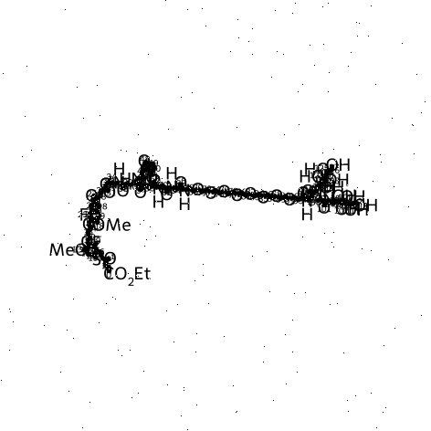 CCOC(=O)CCC(=O)c1cc2c(F)c(OCCCOc3c(OC)cc4c(c3F)CN(C(=O)CCC(=O)O[C@@H](C)CNC(=O)CC[C@H](NC(=O)CN3C(=O)C=CC3=O)C(=O)NCC(=O)NCC(=O)NCC(=O)NCCOCCOCCOCCOCCOCCOCCOCCOCCC(=O)N[C@@H](CCC(=O)NC[C@H](O)[C@@H](O)[C@H](O)[C@H](O)CO)C(=O)NC[C@H](O)[C@@H](O)[C@H](O)[C@H](O)CO)C4)c(OC)cc2s1